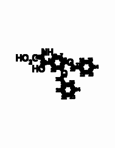 N[C@H](C(=O)O)[C@H](O)c1ccc(OCc2ccccc2)c(OCc2ccccc2)c1